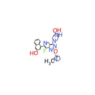 CN1CCC[C@H]1COc1nc(N2CC3CC(O)C(C2)N3)c2cnc(-c3cc(O)cc4ccccc34)c(F)c2n1